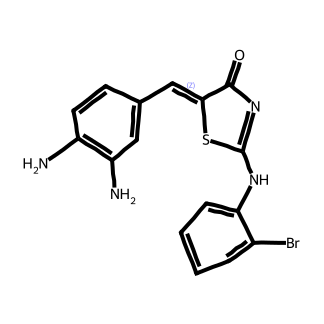 Nc1ccc(/C=C2\SC(Nc3ccccc3Br)=NC2=O)cc1N